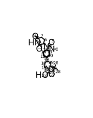 Cn1c(=O)n(C2CCC(=O)NC2=O)c2ccc(C3CCN(C(=O)O)C(C(C)(C)C)C3)cc21